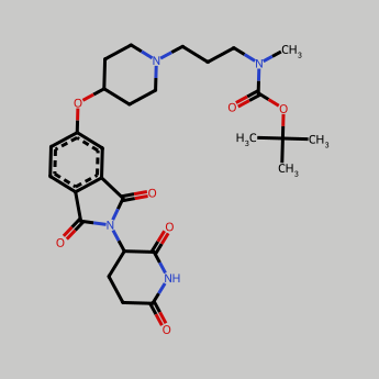 CN(CCCN1CCC(Oc2ccc3c(c2)C(=O)N(C2CCC(=O)NC2=O)C3=O)CC1)C(=O)OC(C)(C)C